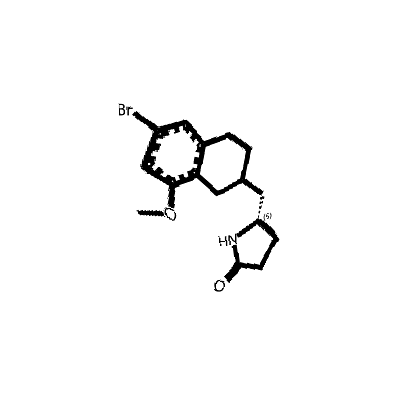 COc1cc(Br)cc2c1CC(C[C@@H]1CCC(=O)N1)CC2